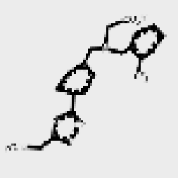 CCCCCCCCCCCc1noc(-c2ccc(CN(CC(=O)O)Cc3ccccc3C(F)(F)F)cc2)n1